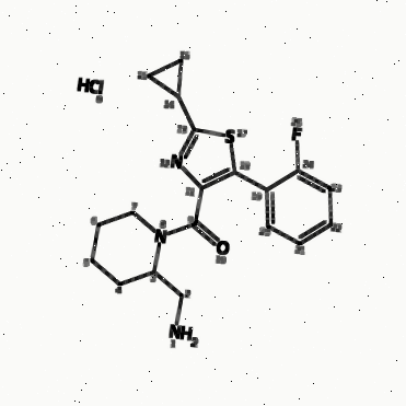 Cl.NCC1CCCCN1C(=O)c1nc(C2CC2)sc1-c1ccccc1F